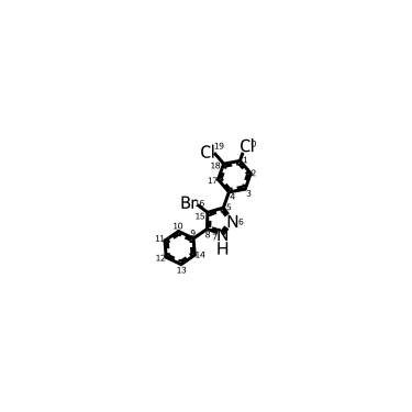 Clc1ccc(-c2n[nH]c(-c3ccccc3)c2Br)cc1Cl